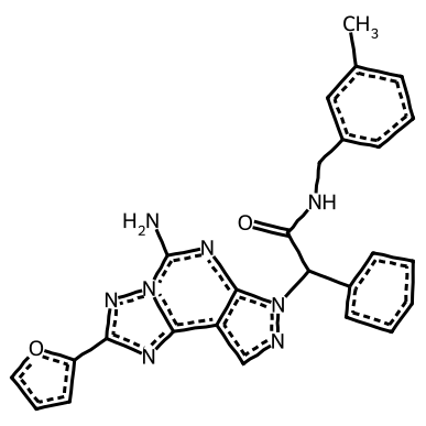 Cc1cccc(CNC(=O)C(c2ccccc2)n2ncc3c2nc(N)n2nc(-c4ccco4)nc32)c1